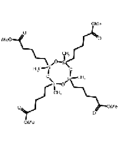 COC(=O)CCCC[Si]1(C)O[Si](C)(CCCCC(=O)OC)O[Si](C)(CCCCC(=O)OC)O[Si](C)(CCCCC(=O)OC)O1